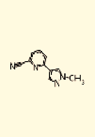 Cn1cc(-c2cccc(C#N)n2)cn1